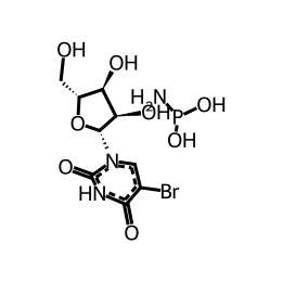 NP(O)O.O=c1[nH]c(=O)n([C@@H]2O[C@H](CO)[C@@H](O)[C@H]2O)cc1Br